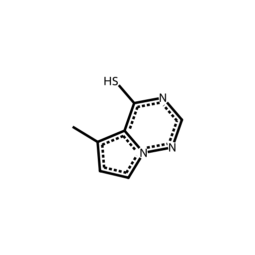 Cc1ccn2ncnc(S)c12